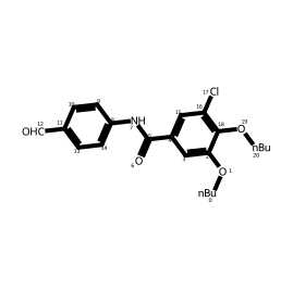 CCCCOc1cc(C(=O)Nc2ccc(C=O)cc2)cc(Cl)c1OCCCC